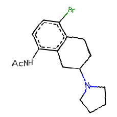 CC(=O)Nc1ccc(Br)c2c1CC(N1CCCC1)CC2